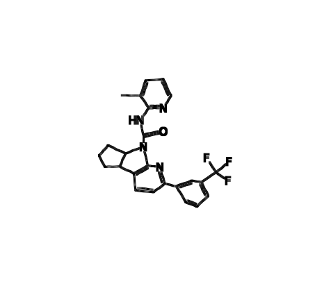 Cc1cccnc1NC(=O)N1c2nc(-c3cccc(C(F)(F)F)c3)ccc2C2CCCC21